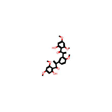 C=C(C(=O)c1c(O)cc(OC)cc1OC)c1ccc(OC)c(C(=C)C(=O)c2c(O)cc(OC)cc2OC)c1